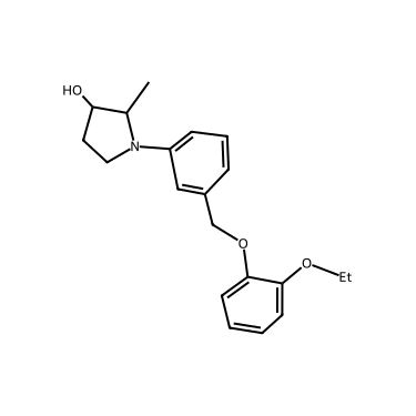 CCOc1ccccc1OCc1cccc(N2CCC(O)C2C)c1